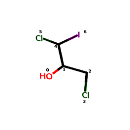 OC(CCl)C(Cl)I